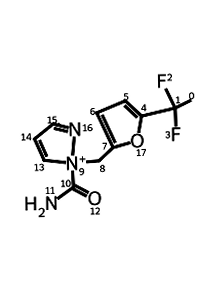 CC(F)(F)c1ccc(C[N+]2(C(N)=O)C=C[C]=N2)o1